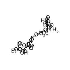 C=C/C(OCCOCCOCCN1CCN(c2ccc(/C=C/C(=O)c3cc(CN4CCC[C@H]4COC)c(OCC)cc3O)c(Cl)c2)CC1)=C1\C(=C)C(=O)N(C2CCC(=O)NC2=O)C1=O